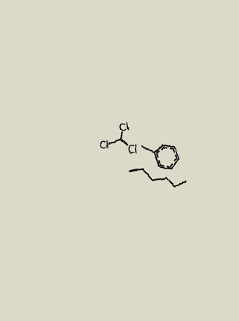 CCCCCC.Cc1ccccc1.ClC(Cl)Cl